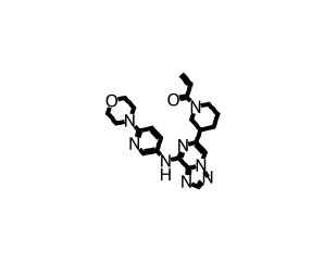 C=CC(=O)N1CCCC(c2cn3ncnc3c(Nc3ccc(N4CCOCC4)nc3)n2)C1